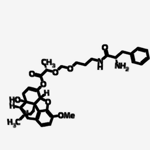 COc1ccc2c3c1O[C@H]1C(OC(=O)[C@H](C)OCOCCCNC(=O)[C@@H](N)Cc4ccccc4)=CC[C@@]4(O)[C@@H](C2)N(C)CC[C@]314